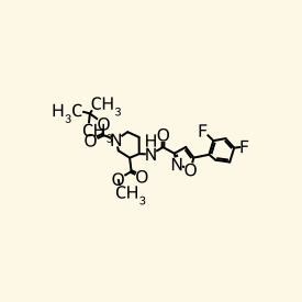 COC(=O)C1CN(C(=O)OC(C)(C)C)CCC1NC(=O)c1cc(-c2ccc(F)cc2F)on1